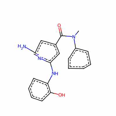 CN(C(=O)c1cc(N)nc(Nc2ccccc2O)c1)c1ccccc1